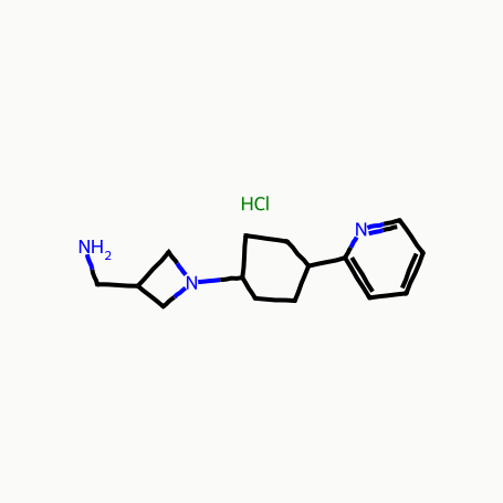 Cl.NCC1CN(C2CCC(c3ccccn3)CC2)C1